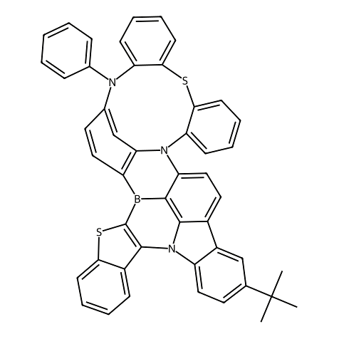 CC(C)(C)c1ccc2c(c1)c1ccc3c4c1n2-c1c(sc2ccccc12)B4c1ccc2cc1N3c1ccccc1Sc1ccccc1N2c1ccccc1